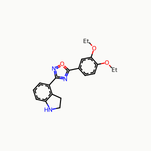 CCOc1ccc(-c2nc(-c3cccc4c3CCN4)no2)cc1OCC